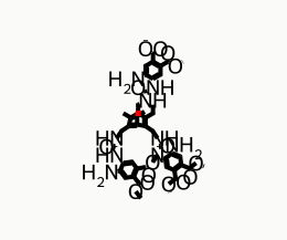 CCc1c(CNC(=O)Nc2cc(C(=O)OC)c(C(=O)OC)cc2N)c(C)c2c(CC)c1CNC(=O)N(c1cc(C(=O)OC)c(C(=O)OC)cc1N)OC(=O)c1cc(c(N)cc1C(=O)OC)NC(=O)NC2